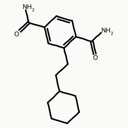 NC(=O)c1ccc(C(N)=O)c(CCC2CCCCC2)c1